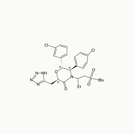 CCC(CS(=O)(=O)C(C)(C)C)N1C(=O)[C@@H](Cc2nnn[nH]2)O[C@H](c2cccc(Cl)c2)[C@H]1c1ccc(Cl)cc1